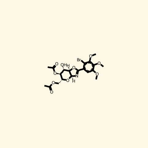 COc1cc(C2=N[C@H]3O[C@H](COC(C)=O)[C@@H](OC(C)=O)[C@H](O)[C@H]3O2)c(Br)c(OC)c1OC